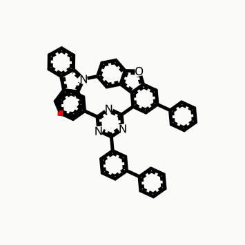 c1ccc(-c2cccc(-c3nc(-c4ccccc4)nc(-c4cc(-c5ccccc5)cc5oc6ccc(-n7c8ccccc8c8ccccc87)cc6c45)n3)c2)cc1